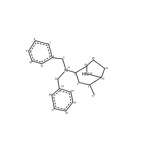 CC1CC(N(Cc2ccccc2)Cc2ccccc2)C2CCC1N2